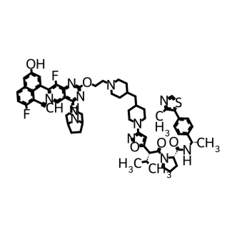 C#Cc1c(F)ccc2cc(O)cc(-c3ncc4c(N5CC6CCC(C5)N6)nc(OCCN5CCC(CC6CCN(c7cc([C@H](C(=O)N8CCC[C@H]8C(=O)N[C@@H](C)c8ccc(-c9scnc9C)cc8)C(C)C)on7)CC6)CC5)nc4c3F)c12